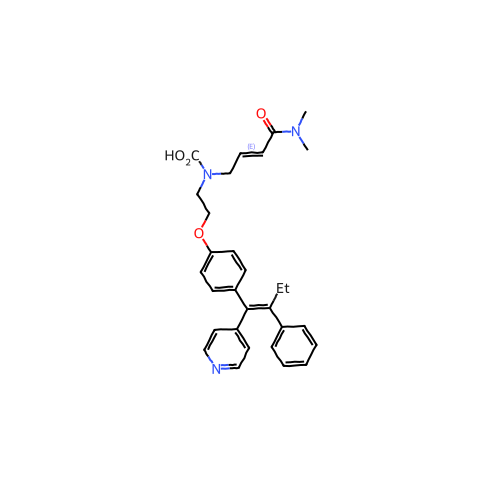 CCC(=C(c1ccncc1)c1ccc(OCCN(C/C=C/C(=O)N(C)C)C(=O)O)cc1)c1ccccc1